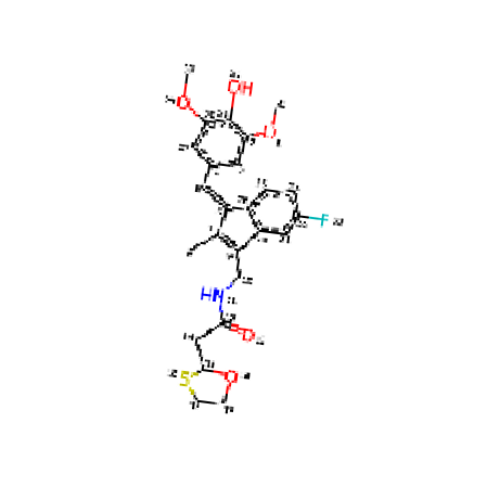 COc1cc(/C=C2/C(C)=C(CNC(=O)CC3OCCS3)c3cc(F)ccc32)cc(OC)c1O